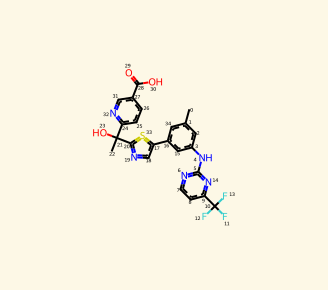 Cc1cc(Nc2nccc(C(F)(F)F)n2)cc(-c2cnc(C(C)(O)c3ccc(C(=O)O)cn3)s2)c1